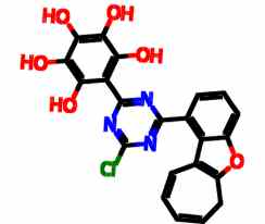 Oc1c(O)c(O)c(-c2nc(Cl)nc(-c3cccc4oc5c(c34)C=CC=CC5)n2)c(O)c1O